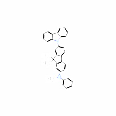 CN(c1ccccc1)c1ccc2c(c1)C(C)(C)c1cc(-n3c4ccccc4c4ccccc43)ccc1-2